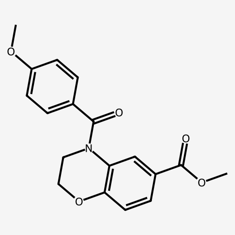 COC(=O)c1ccc2c(c1)N(C(=O)c1ccc(OC)cc1)CCO2